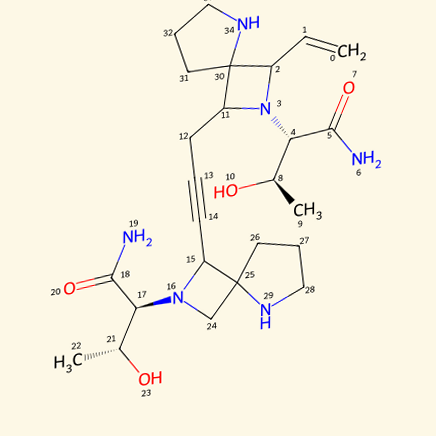 C=CC1N([C@H](C(N)=O)[C@@H](C)O)C(CC#CC2N([C@H](C(N)=O)[C@@H](C)O)CC23CCCN3)C12CCCN2